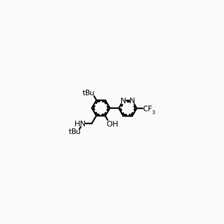 CC(C)(C)NCc1cc(C(C)(C)C)cc(-c2ccc(C(F)(F)F)nn2)c1O